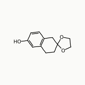 Oc1ccc2c(c1)CCC1(C2)OCCO1